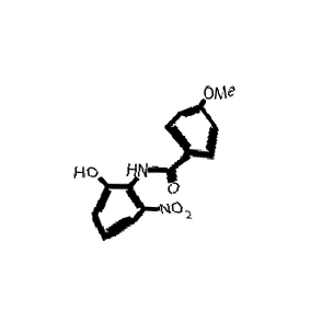 COc1ccc(C(=O)Nc2c(O)cccc2[N+](=O)[O-])cc1